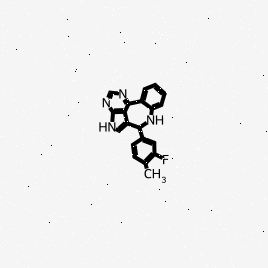 Cc1ccc(C2Nc3ccccc3-c3ncnc4[nH]cc2c34)cc1F